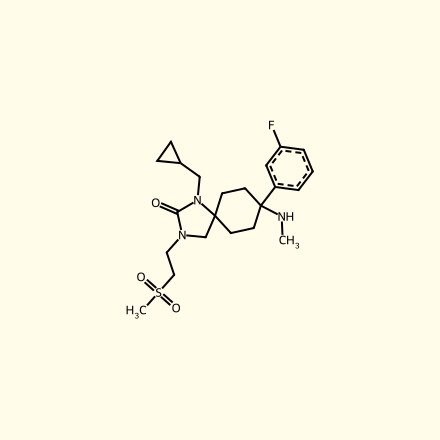 CNC1(c2cccc(F)c2)CCC2(CC1)CN(CCS(C)(=O)=O)C(=O)N2CC1CC1